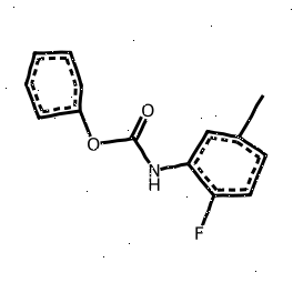 Cc1ccc(F)c(NC(=O)Oc2ccccc2)c1